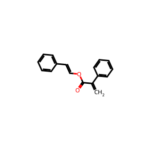 C=C(C(=O)OC=Cc1ccccc1)c1ccccc1